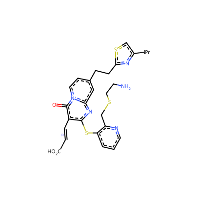 CC(C)c1csc(CCc2ccn3c(=O)c(/C=C/C(=O)O)c(Sc4cccnc4CSCCN)nc3c2)n1